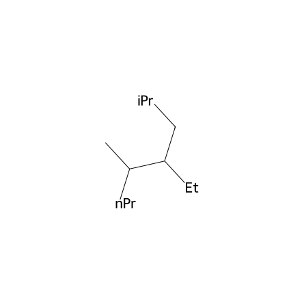 [CH2]C(C)CC(CC)C(C)CCC